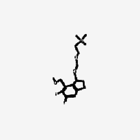 COCc1c(F)c(F)cc2c1C(OCOCC[Si](C)(C)C)CC2